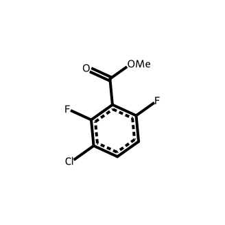 COC(=O)c1c(F)ccc(Cl)c1F